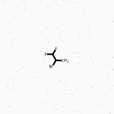 [CH2]C(Br)C(F)F